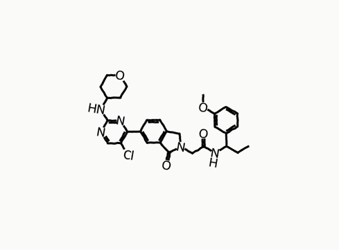 CCC(NC(=O)CN1Cc2ccc(-c3nc(NC4CCOCC4)ncc3Cl)cc2C1=O)c1cccc(OC)c1